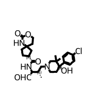 C[C@@H](CN1CC[C@](O)(c2ccc(Cl)cc2)C(C)(C)C1)C(C=O)NC(=O)[C@@H]1CCC2(CCOC(=O)N2)C1